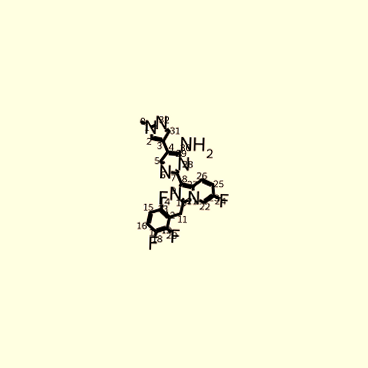 Cn1cc(-c2cnc(-c3nc(Cc4c(F)ccc(F)c4F)n4cc(F)ccc34)nc2N)cn1